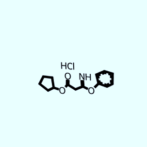 Cl.N=C(CC(=O)OC1CCCC1)Oc1ccccc1